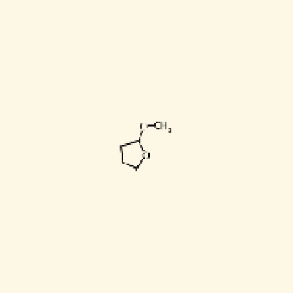 COC1CC[CH]O1